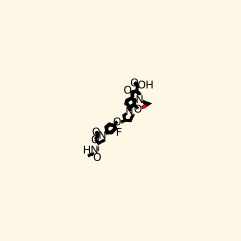 COc1c(N2CCC(COc3ccc(N4C[C@H](CNC(C)=O)OC4=O)cc3F)C2)ccc2c(=O)c(C(=O)O)cn(C3CC3)c12